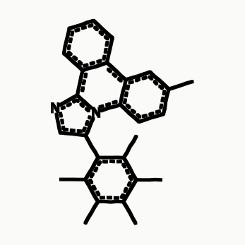 Cc1ccc2c(c1)c1ccccc1c1ncc(-c3c(C)c(C)c(C)c(C)c3C)n21